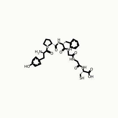 N[C@H](Cc1ccc(O)cc1)C(=O)N1CCC[C@@H]1C(=O)N[C@H](Cc1ccccc1)C(=O)NCC(=O)NCC(=O)N[C@@H](CS)C(=O)O